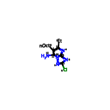 CCCCCCCCc1c(CC)nc2nc(Cl)nn2c1N